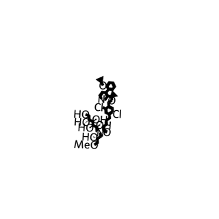 COC[C@H](O)CN(C[C@H](O)[C@@H](O)[C@H](O)[C@H](O)CO)C(=O)CCCCc1cc(Cl)c(COC2(c3cnccc3-c3ccccc3OC3CC3)CC2)cc1Cl